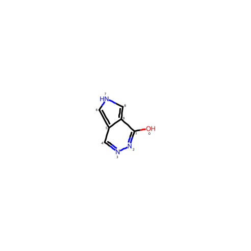 Oc1nncc2c[nH]cc12